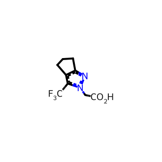 O=C(O)Cn1nc2c(c1C(F)(F)F)CCC2